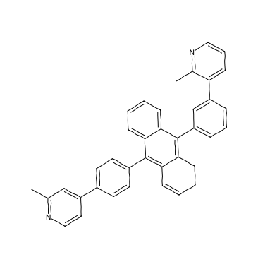 Cc1cc(-c2ccc(-c3c4c(c(-c5cccc(-c6cccnc6C)c5)c5ccccc35)CCC=C4)cc2)ccn1